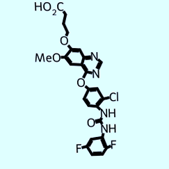 COc1cc2c(Oc3ccc(NC(=O)Nc4cc(F)ccc4F)c(Cl)c3)ncnc2cc1OCCCC(=O)O